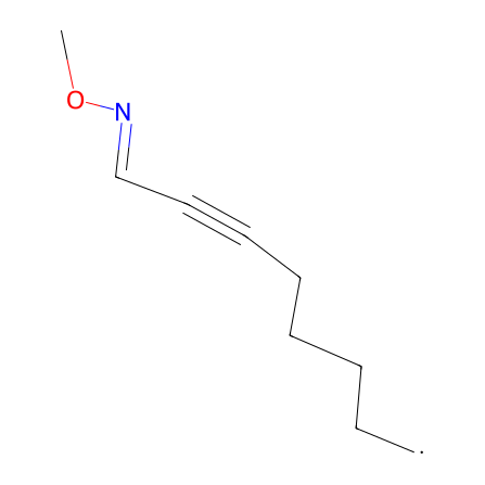 [CH2]CCCCC#CC=NOC